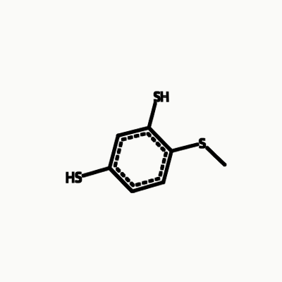 CSc1ccc(S)cc1S